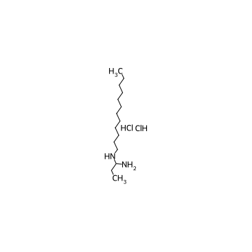 CCCCCCCCCCCCNC(N)CC.Cl.Cl